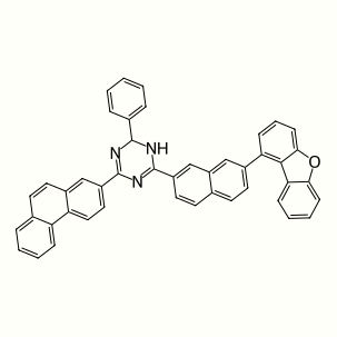 c1ccc(C2N=C(c3ccc4c(ccc5ccccc54)c3)N=C(c3ccc4ccc(-c5cccc6oc7ccccc7c56)cc4c3)N2)cc1